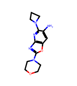 Nc1cc2oc(N3CCOCC3)nc2nc1N1CCC1